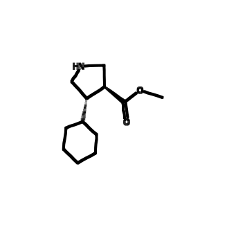 COC(=O)[C@@H]1CNC[C@H]1C1CCCCC1